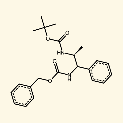 C[C@H](NC(=O)OC(C)(C)C)C(NC(=O)OCc1ccccc1)c1ccccc1